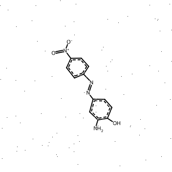 Nc1cc(N=Nc2ccc([N+](=O)[O-])cc2)ccc1O